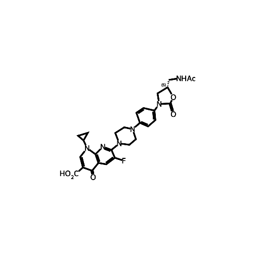 CC(=O)NC[C@H]1CN(c2ccc(N3CCN(c4nc5c(cc4F)c(=O)c(C(=O)O)cn5C4CC4)CC3)cc2)C(=O)O1